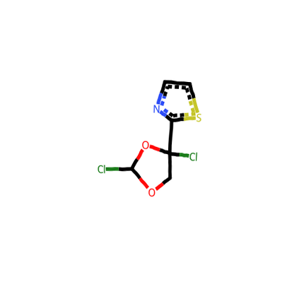 ClC1OCC(Cl)(c2nccs2)O1